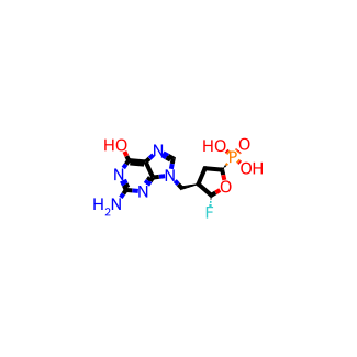 Nc1nc(O)c2ncn(C[C@H]3C[C@H](P(=O)(O)O)O[C@@H]3F)c2n1